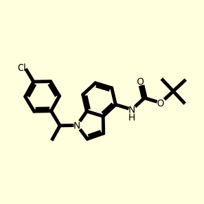 CC(c1ccc(Cl)cc1)n1ccc2c(NC(=O)OC(C)(C)C)cccc21